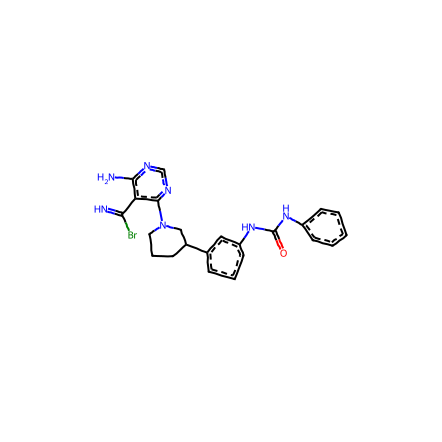 N=C(Br)c1c(N)ncnc1N1CCCC(c2cccc(NC(=O)Nc3ccccc3)c2)C1